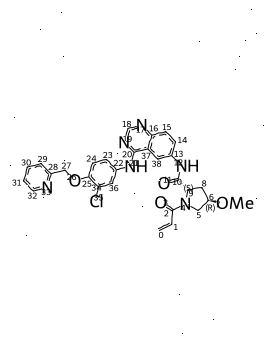 C=CC(=O)N1C[C@H](OC)C[C@H]1C(=O)Nc1ccc2ncnc(Nc3ccc(OCc4ccccn4)c(Cl)c3)c2c1